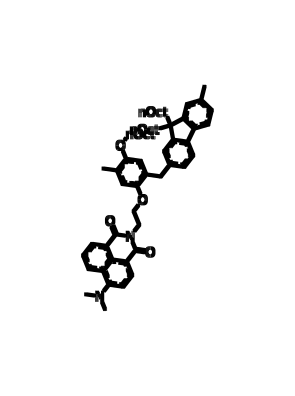 CCCCCCCCOc1cc(Cc2ccc3c(c2)C(CCCCCCCC)(CCCCCCCC)c2cc(C)ccc2-3)c(OCCN2C(=O)c3cccc4c(N(C)C)ccc(c34)C2=O)cc1C